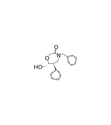 O=C1CO[C@@H](CO)[C@H](c2ccccc2)CN1Cc1ccccc1